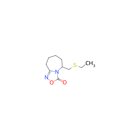 CCSCC1CCCCc2noc(=O)n21